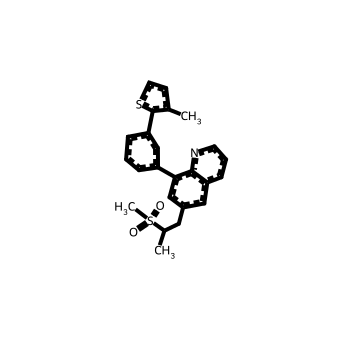 Cc1ccsc1-c1cccc(-c2cc(CC(C)S(C)(=O)=O)cc3cccnc23)c1